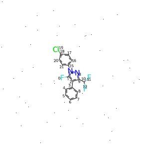 Fc1c(-c2ccccc2)c(C(F)F)nn1-c1ccc(Cl)cc1